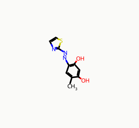 Cc1cc(/N=N/c2nccs2)c(O)cc1O